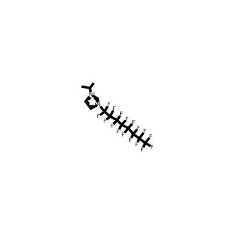 CC(C)[n+]1ccn(C(F)(F)C(F)(F)C(F)(F)C(F)(F)C(F)(F)C(F)(F)C(F)(F)C(F)(F)F)c1